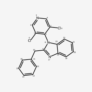 Clc1cncc(Cl)c1-n1c(Cc2ccccc2)nc2ccccc21